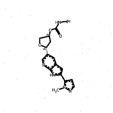 CC(C)NC(=O)O[C@@H]1CO[C@@H](c2cnc3[nH]c(-c4ccnn4C)cc3c2)C1